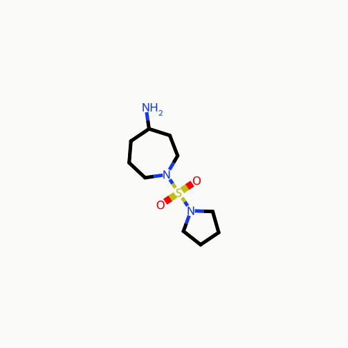 NC1CCCN(S(=O)(=O)N2CCCC2)CC1